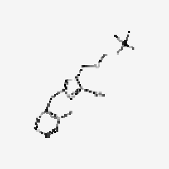 C[Si](C)(C)CCOCn1cc(Cc2ccncc2F)nc1C=O